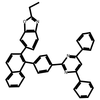 CCc1nc2ccc(-c3ccc4ccccc4c3-c3ccc(-c4nc(-c5ccccc5)cc(-c5ccccc5)n4)cc3)cc2o1